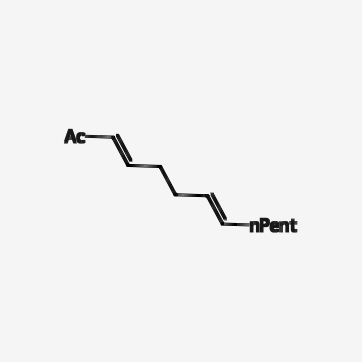 CCCCCC=CCCC=CC(C)=O